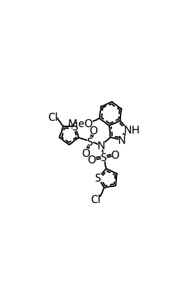 COc1cccc2[nH]nc(N(S(=O)(=O)c3ccc(Cl)s3)S(=O)(=O)c3ccc(Cl)s3)c12